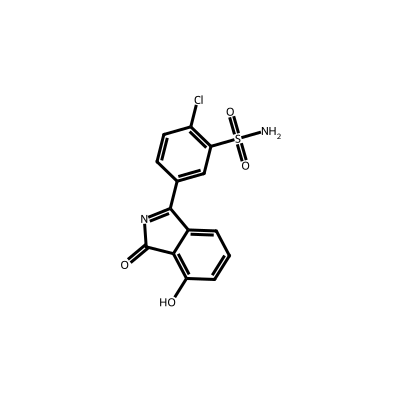 NS(=O)(=O)c1cc(C2=NC(=O)c3c(O)cccc32)ccc1Cl